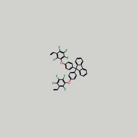 C=Cc1c(F)c(F)c(F)c(Oc2ccc(C3(c4ccc(Oc5c(F)c(F)c(F)c(C=C)c5F)cc4)c4ccccc4-c4ccccc43)cc2)c1F